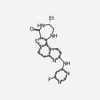 CC[C@@H]1CNc2c(sc3ccc4nc(Nc5cc(F)ncn5)ccc4c23)C(=O)N1